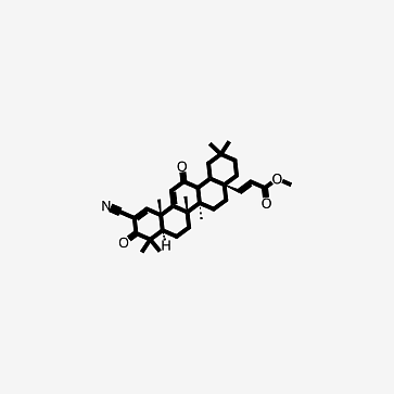 COC(=O)/C=C/[C@]12CCC(C)(C)CC1C1C(=O)C=C3[C@@]4(C)C=C(C#N)C(=O)C(C)(C)[C@@H]4CC[C@@]3(C)[C@]1(C)CC2